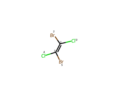 Cl/C(Br)=C(/Cl)Br